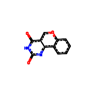 O=c1nc2c3ccccc3occ-2c(=O)[nH]1